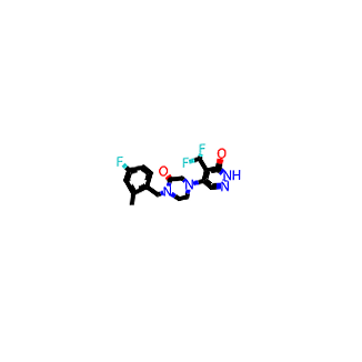 Cc1cc(F)ccc1CN1CCN(c2cn[nH]c(=O)c2C(F)F)CC1=O